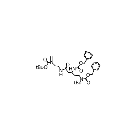 CC(C)(C)OC(=O)NCCNC(=O)CC(CCN(C(=O)OCc1ccccc1)C(C)(C)C)NC(=O)OCc1ccccc1